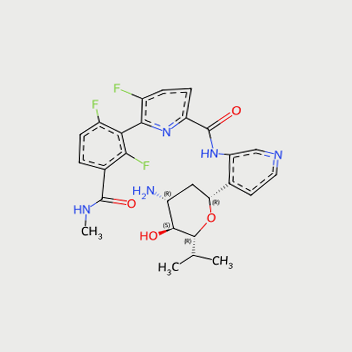 CNC(=O)c1ccc(F)c(-c2nc(C(=O)Nc3cnccc3[C@H]3C[C@@H](N)[C@H](O)[C@@H](C(C)C)O3)ccc2F)c1F